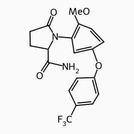 COc1ccc(Oc2ccc(C(F)(F)F)cc2)cc1N1C(=O)CCC1C(N)=O